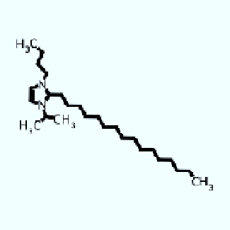 CCCCCCCCCCCCCCCCC1N(CCCC)C=CN1C(C)C